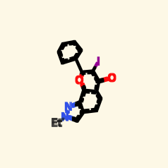 CCn1cc2ccc3c(=O)c(I)c(-c4ccccc4)oc3c2n1